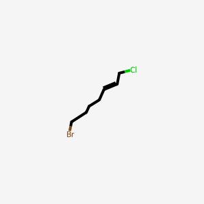 ClCC=CCCCCBr